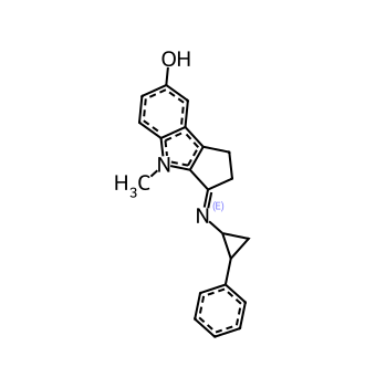 Cn1c2c(c3cc(O)ccc31)CC/C2=N\C1CC1c1ccccc1